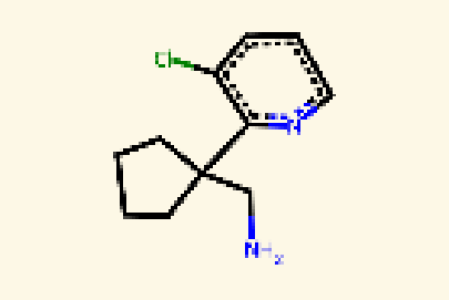 NCC1(c2ncccc2Cl)CCCC1